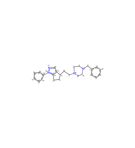 c1ccc(CN2CCN(CCC3CCc4c3cnn4-c3ccccc3)CC2)cc1